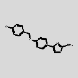 CNc1nc(-c2ccc(OCc3ccc(Cl)cc3)cc2)cs1